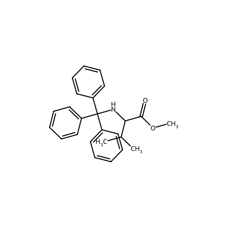 COC(=O)C(NC(c1ccccc1)(c1ccccc1)c1ccccc1)C(C)C